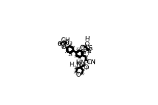 CS(=O)(=O)Oc1ccc(-c2ccc(C[C@@H](C#N)NC(=O)C3(N)CCOCC3)cc2)cc1.O=C(O)C(F)(F)F